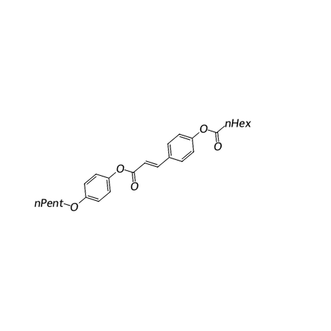 [CH2]CCCCCC(=O)Oc1ccc(/C=C/C(=O)Oc2ccc(OCCCCC)cc2)cc1